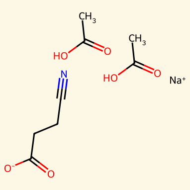 CC(=O)O.CC(=O)O.N#CCCC(=O)[O-].[Na+]